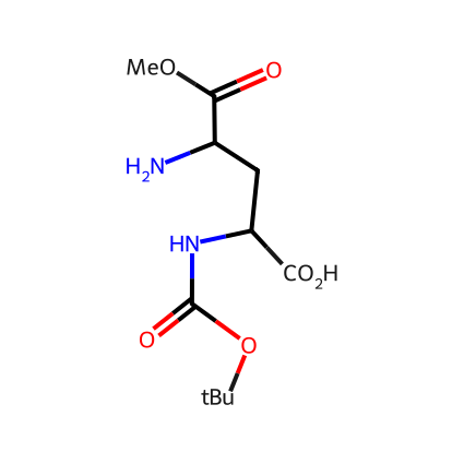 COC(=O)C(N)CC(NC(=O)OC(C)(C)C)C(=O)O